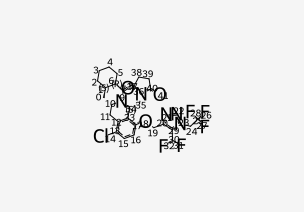 C[C@H]1CCCC[C@H]1C(=O)N1CCc2c(Cl)ccc(OCc3nnn(CC(F)(F)F)c3C(F)F)c2[C@H]1CN1CCCC1=O